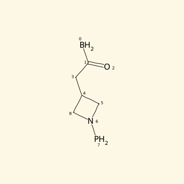 BC(=O)CC1CN(P)C1